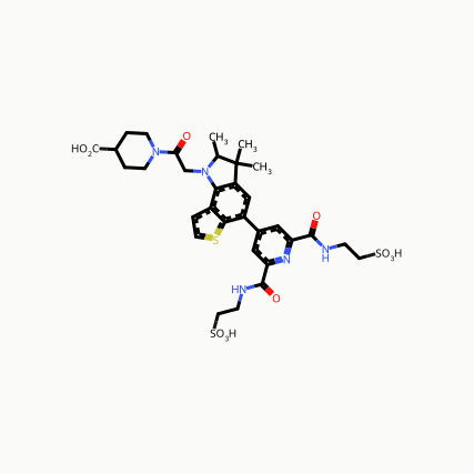 CC1N(CC(=O)N2CCC(C(=O)O)CC2)c2c(cc(-c3cc(C(=O)NCCS(=O)(=O)O)nc(C(=O)NCCS(=O)(=O)O)c3)c3sccc23)C1(C)C